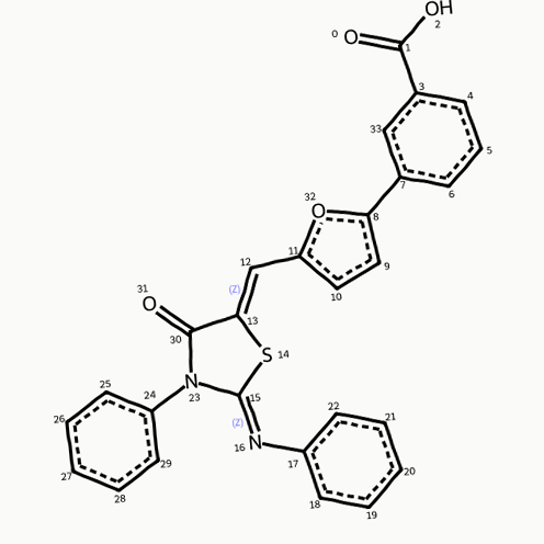 O=C(O)c1cccc(-c2ccc(/C=C3\S/C(=N\c4ccccc4)N(c4ccccc4)C3=O)o2)c1